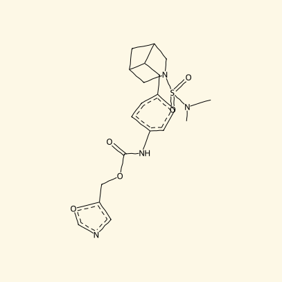 CN(C)S(=O)(=O)N1CC2CC(C1)C2Cc1ccc(NC(=O)OCc2cnco2)cc1